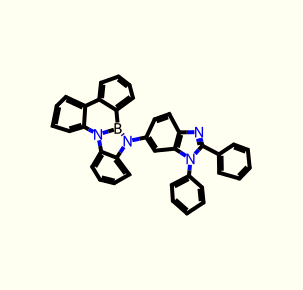 c1ccc(-c2nc3ccc(N4B5c6ccccc6-c6ccccc6N5c5ccccc54)cc3n2-c2ccccc2)cc1